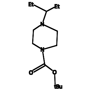 CCC(CC)N1CCN(C(=O)OC(C)(C)C)CC1